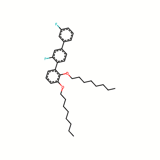 CCCCCCCCOc1cccc(-c2ccc(-c3cccc(F)c3)cc2F)c1OCCCCCCCC